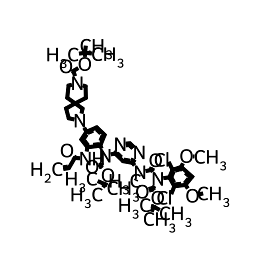 C=CC(=O)Nc1cc(N2CCC3(CCN(C(=O)OC(C)(C)C)CC3)C2)ccc1N(C(=O)OC(C)(C)C)c1cc(N(C)C(=O)N(C(=O)OC(C)(C)C)c2c(Cl)c(OC)cc(OC)c2Cl)ncn1